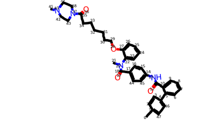 Cc1ccc(-c2ccccc2C(=O)Nc2ccc(C(=O)N(C)c3ccccc3OCCCCCCC(=O)N3CCN(C)CC3)cc2)cc1